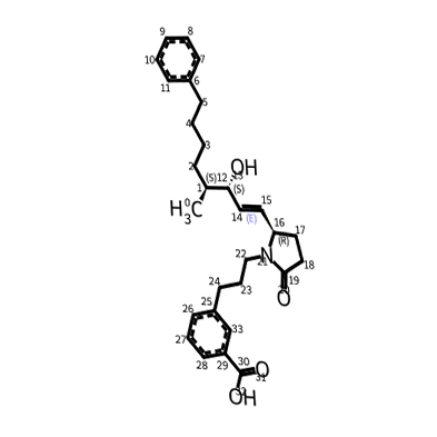 C[C@@H](CCCCc1ccccc1)[C@H](O)/C=C/[C@H]1CCC(=O)N1CCCc1cccc(C(=O)O)c1